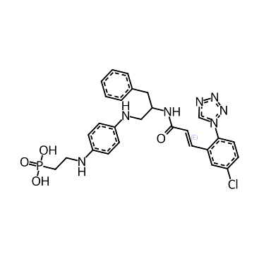 O=C(/C=C/c1cc(Cl)ccc1-n1cnnn1)NC(CNc1ccc(NCCP(=O)(O)O)cc1)Cc1ccccc1